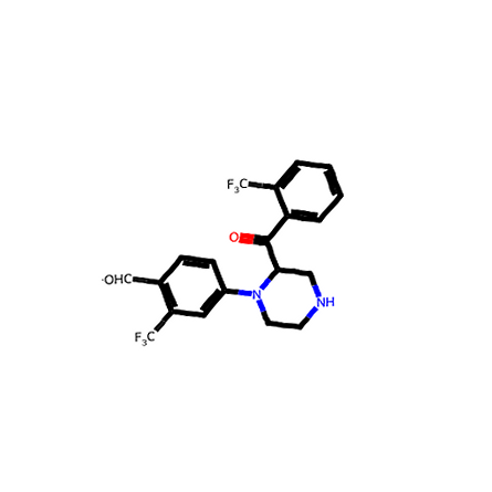 O=[C]c1ccc(N2CCNCC2C(=O)c2ccccc2C(F)(F)F)cc1C(F)(F)F